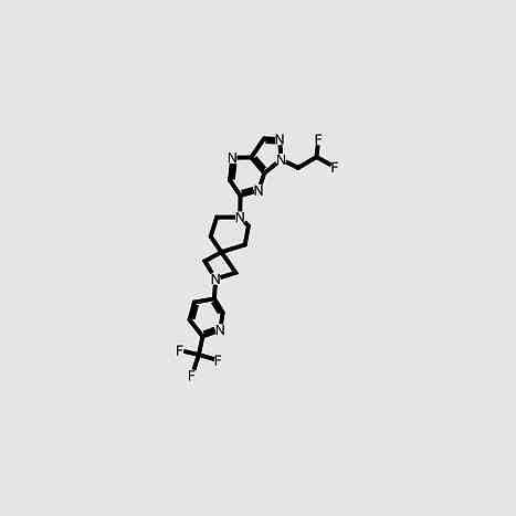 FC(F)Cn1ncc2ncc(N3CCC4(CC3)CN(c3ccc(C(F)(F)F)nc3)C4)nc21